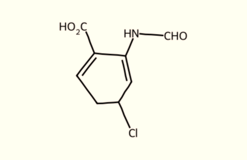 O=CNC1=CC(Cl)CC=C1C(=O)O